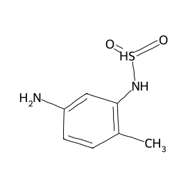 Cc1ccc(N)cc1N[SH](=O)=O